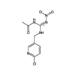 CC(=O)N/C(=N\[N+](=O)[O-])NCc1ccc(Cl)nc1